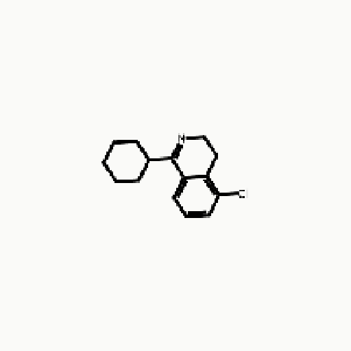 Clc1cccc2c1CCN=C2C1CCCCC1